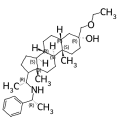 CCOC[C@@]1(O)CC[C@@]2(C)[C@H](CC[C@@H]3[C@@H]2CC[C@]2(C)C([C@@H](C)N[C@H](C)c4ccccc4)CC[C@@H]32)C1